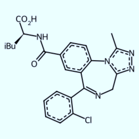 CCC(C)[C@H](NC(=O)c1ccc2c(c1)C(c1ccccc1Cl)=NCc1nnc(C)n1-2)C(=O)O